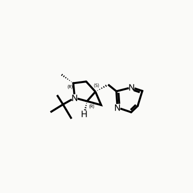 C[C@@H]1C[C@@]2(Cc3ncccn3)C[C@H]2N1C(C)(C)C